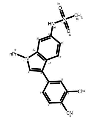 CCCn1cc(-c2ccc(C#N)c(Cl)c2)c2ccc(NS(C)(=O)=O)cc21